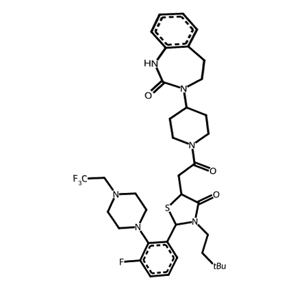 CC(C)(C)CCN1C(=O)C(CC(=O)N2CCC(N3CCc4ccccc4NC3=O)CC2)SC1c1cccc(F)c1N1CCN(CC(F)(F)F)CC1